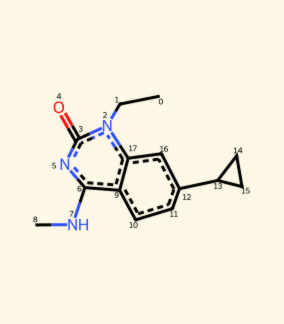 CCn1c(=O)nc(NC)c2ccc(C3CC3)cc21